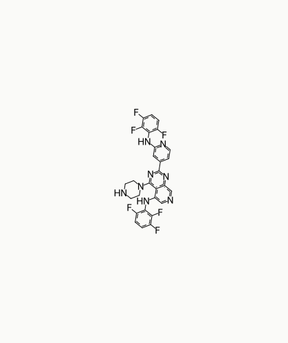 Fc1ccc(F)c(Nc2cc(-c3nc(N4CCNCC4)c4c(Nc5c(F)ccc(F)c5F)cncc4n3)ccn2)c1F